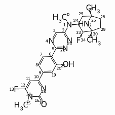 CN(c1cnc(-c2ccc(-c3cc(F)n(C)c(=O)n3)cc2O)nn1)[C@H]1C[C@]2(C)CC[C@@](C)(N2)[C@H]1F